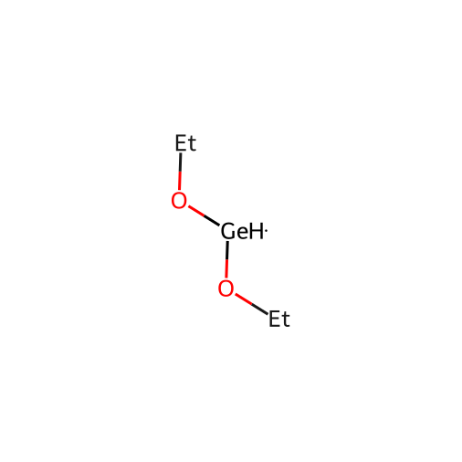 CC[O][GeH][O]CC